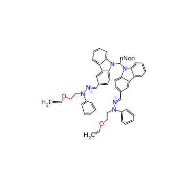 C=COCCN(/N=C/c1ccc2c(c1)c1ccccc1n2C(CCCCCCCCC)n1c2ccccc2c2cc(/C=N/N(CCOC=C)c3ccccc3)ccc21)c1ccccc1